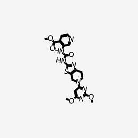 COC(=O)c1ccncc1NC(=O)Nc1nc2c(s1)CN(c1cc(OC)nc(OC)n1)CC2